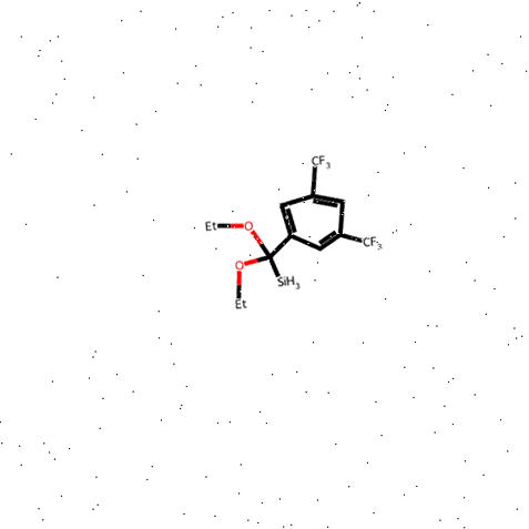 CCOC([SiH3])(OCC)c1cc(C(F)(F)F)cc(C(F)(F)F)c1